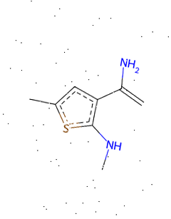 C=C(N)c1cc(C)sc1NC